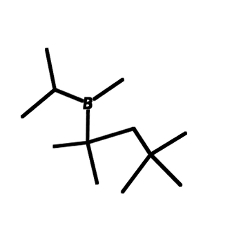 CB(C(C)C)C(C)(C)CC(C)(C)C